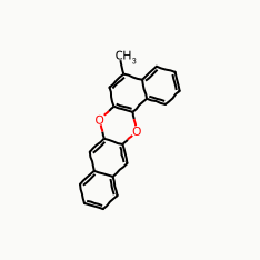 Cc1cc2c(c3ccccc13)Oc1cc3ccccc3cc1O2